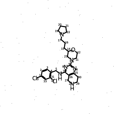 Clc1ccc(CNc2nc(N3CCOC(CCCN4CCCC4)C3)nc3c2CNCC3)c(Cl)c1